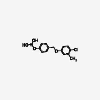 Cc1cc(OCc2ccc(OB(O)O)cc2)ccc1Cl